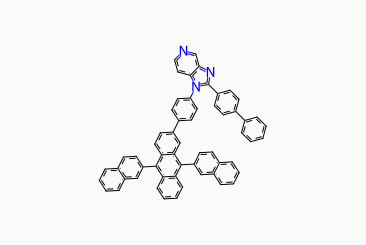 c1ccc(-c2ccc(-c3nc4cnccc4n3-c3ccc(-c4ccc5c(-c6ccc7ccccc7c6)c6ccccc6c(-c6ccc7ccccc7c6)c5c4)cc3)cc2)cc1